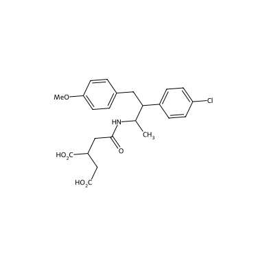 COc1ccc(CC(c2ccc(Cl)cc2)C(C)NC(=O)CC(CC(=O)O)C(=O)O)cc1